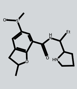 CCC(NC(=O)c1cc([S+](C)[O-])cc2c1OC(C)C2)C1CCCN1